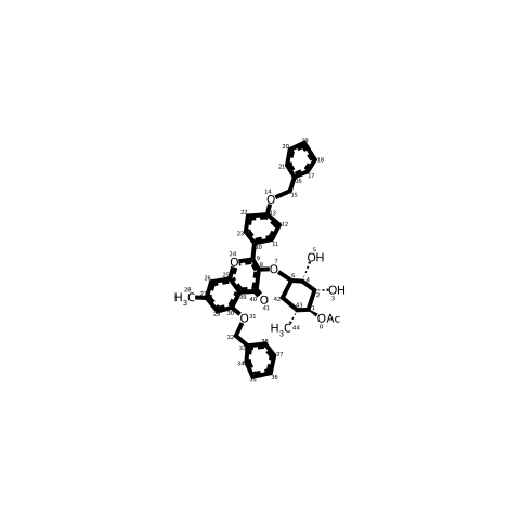 CC(=O)O[C@@H]1[C@@H](O)[C@@H](O)C(Oc2c(-c3ccc(OCc4ccccc4)cc3)oc3cc(C)cc(OCc4ccccc4)c3c2=O)C[C@H]1C